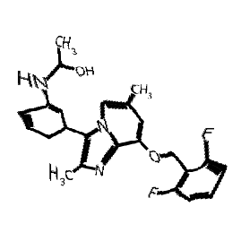 Cc1cc(OCc2c(F)cccc2F)c2nc(C)c(C3C=C(NC(C)O)C=CC3)n2c1